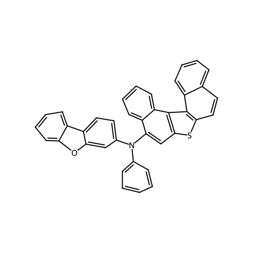 c1ccc(N(c2ccc3c(c2)oc2ccccc23)c2cc3sc4ccc5ccccc5c4c3c3ccccc23)cc1